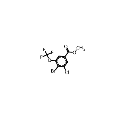 COC(=O)c1cc(Cl)c(Br)c(OC(F)(F)F)c1